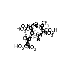 C=C(C)C(=O)OC(C)Cc1cc(Oc2ccc(C(F)(F)F)cc2Cl)cc(C(=O)O)c1[N+](=O)[O-].CC(CN(C)C)C(=O)OCCc1cc(Oc2ccc(C(F)(F)F)cc2Cl)cc(C(=O)O)c1[N+](=O)[O-].O=C(O)c1cc(Oc2ccc(C(F)(F)F)cc2Cl)ccc1[N+](=O)[O-]